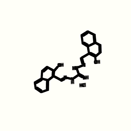 Cl.N=C(NN=Cc1c(O)ccc2ccccc12)NN=Cc1c(O)ccc2ccccc12